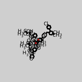 CN(c1ccc(S(=O)(=O)NC(=O)c2ccc(N3CCN(CC4=C(c5ccc(Cl)cc5)CC(C)(C)CC4)CC3)cc2Oc2cccc3c2c(N(C(=O)OC(C)(C)C)C(=O)OC(C)(C)C)nn3C(=O)OC(C)(C)C)cc1[N+](=O)[O-])C1(F)CCOCC1